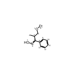 CCOCC(C)C(=NO)c1ccccc1